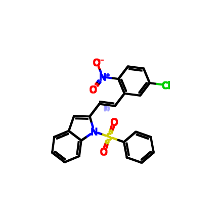 O=[N+]([O-])c1ccc(Cl)cc1/C=C/c1cc2ccccc2n1S(=O)(=O)c1ccccc1